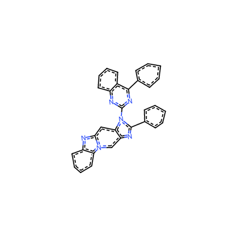 c1ccc(-c2nc(-n3c(-c4ccccc4)nc4cn5c(cc43)nc3ccccc35)nc3ccccc23)cc1